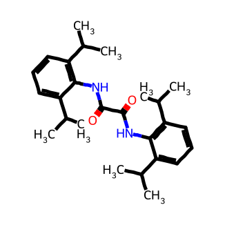 CC(C)c1cccc(C(C)C)c1NC(=O)C(=O)Nc1c(C(C)C)cccc1C(C)C